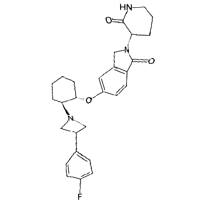 O=C1NCCCC1N1Cc2cc(O[C@H]3CCCC[C@@H]3N3CC(c4ccc(F)cc4)C3)ccc2C1=O